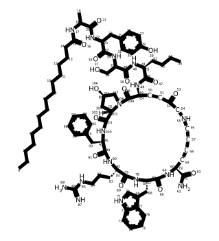 CCCCCCCCCCCCCCCC(=O)NC(C)C(=O)NC(Cc1ccc(O)cc1)C(=O)NC(CO)C(=O)N[C@@H](CCCC)C(=O)N[C@H]1CCC(=O)CNCCCC[C@@H](C(N)=O)NC(=O)[C@H](Cc2c[nH]c3ccccc23)NC(=O)[C@H](CCCNC(=N)N)NC(=O)[C@@H](Cc2ccccc2)NC(=O)[C@@H]2C[C@@H](O)CN2C1=O